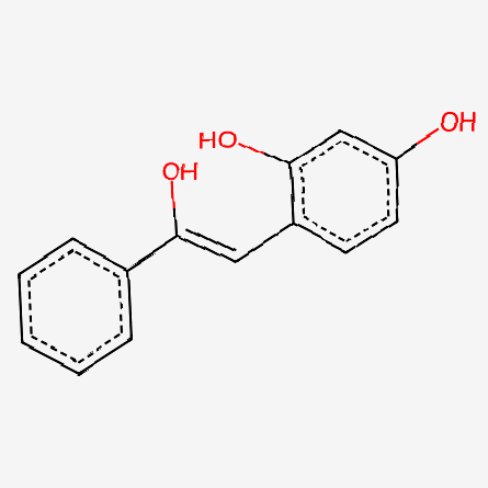 OC(=Cc1ccc(O)cc1O)c1ccccc1